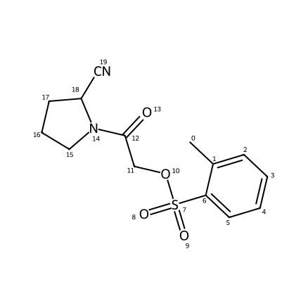 Cc1ccccc1S(=O)(=O)OCC(=O)N1CCCC1C#N